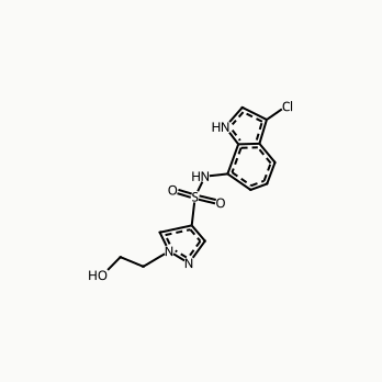 O=S(=O)(Nc1cccc2c(Cl)c[nH]c12)c1cnn(CCO)c1